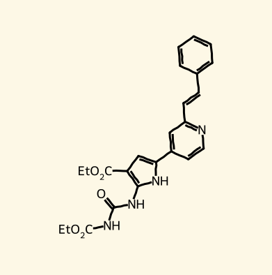 CCOC(=O)NC(=O)Nc1[nH]c(-c2ccnc(/C=C/c3ccccc3)c2)cc1C(=O)OCC